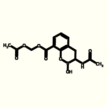 CC(=O)NC1Cc2cccc(C(=O)OCOC(C)=O)c2OB1O